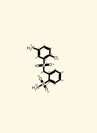 Nc1ccc(Cl)c(S(=O)(=O)Cc2ccccc2S(N)(=O)=O)c1